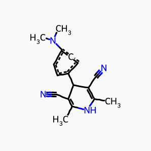 CC1=C(C#N)C(c2ccc(N(C)C)cc2)C(C#N)=C(C)N1